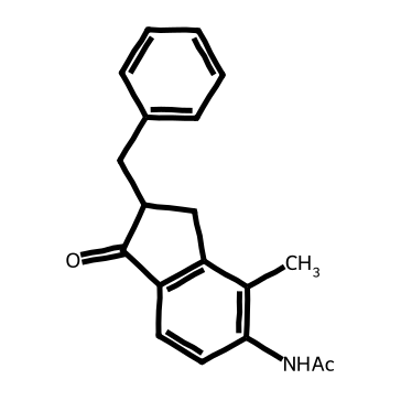 CC(=O)Nc1ccc2c(c1C)CC(Cc1ccccc1)C2=O